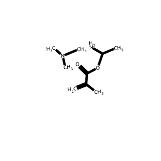 C=C(C)C(=O)OC(C)N.CN(C)C